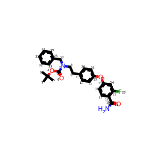 CC(C)(C)OC(=O)N(CCc1ccc(Oc2ccc(C(N)=O)c(F)c2)cc1)Cc1ccccc1